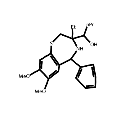 CCCC(O)C1(CC)CSc2cc(OC)c(OC)cc2C(c2ccccc2)N1